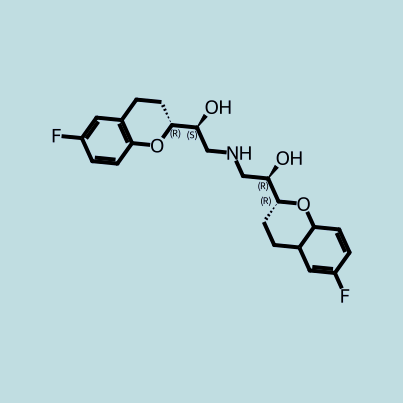 O[C@H](CNC[C@H](O)[C@H]1CCc2cc(F)ccc2O1)[C@H]1CCC2C=C(F)C=CC2O1